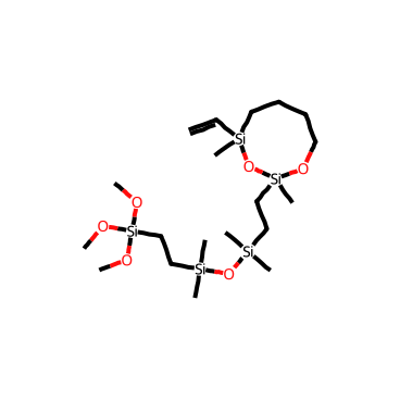 C=C[Si]1(C)CCCCO[Si](C)(CC[Si](C)(C)O[Si](C)(C)CC[Si](OC)(OC)OC)O1